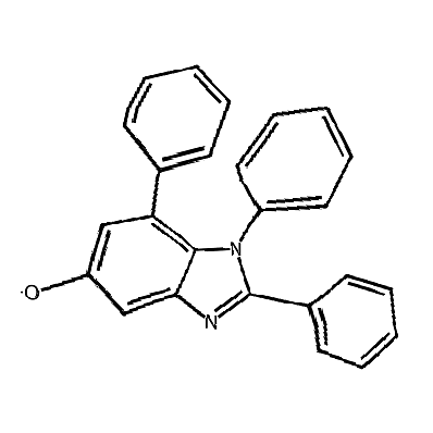 [O]c1cc(-c2ccccc2)c2c(c1)nc(-c1ccccc1)n2-c1ccccc1